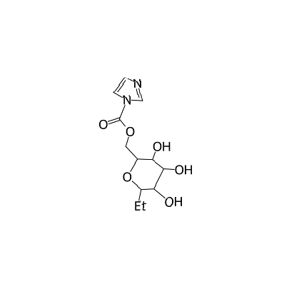 CCC1OC(COC(=O)n2ccnc2)C(O)C(O)C1O